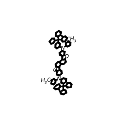 Cc1cccc(N(c2cccc(C3(c4ccccc4)c4ccccc4-c4ccccc43)c2)c2ccc3c(c2)oc2ccc4c(ccc5oc6cc(N(c7cccc(C)c7)c7cccc(C8(c9ccccc9)c9ccccc9-c9ccccc98)c7)ccc6c54)c23)c1